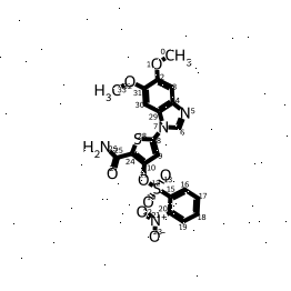 COc1cc2ncn(-c3cc(OS(=O)(=O)c4ccccc4[N+](=O)[O-])c(C(N)=O)s3)c2cc1OC